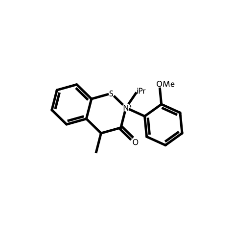 COc1ccccc1[N+]1(C(C)C)Sc2ccccc2C(C)C1=O